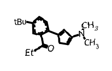 CCC(=O)c1cc(C(C)(C)C)ccc1C1=CC(N(C)C)=CC1